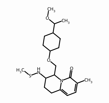 COC(C)C1CCC(OCC2C(NSC)CCc3ccc(C)c(=O)n32)CC1